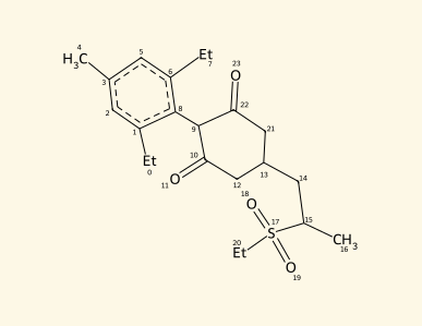 CCc1cc(C)cc(CC)c1C1C(=O)CC(CC(C)S(=O)(=O)CC)CC1=O